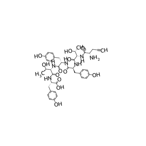 C#CC[C@H](N)C(=O)N[C@H](C(=O)N[C@@H](Cc1ccc(O)cc1)C(=O)N[C@@H](Cc1ccc(O)cc1)C(=O)N[C@H](C(=O)N[C@@H](Cc1ccc(O)cc1)C(=O)O)[C@@H](C)O)[C@@H](C)O